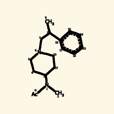 CC(=O)N(C)C1CCN(CC(C)c2ccccc2)CC1